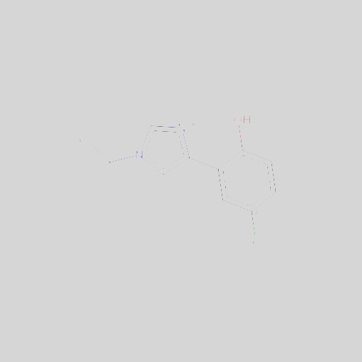 Oc1ccc(Cl)cc1-c1cn(CCl)cn1